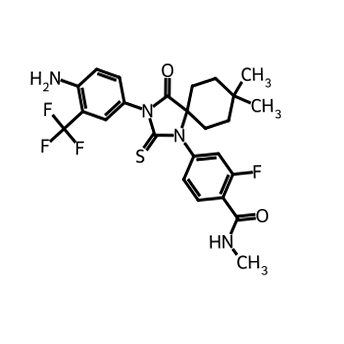 CNC(=O)c1ccc(N2C(=S)N(c3ccc(N)c(C(F)(F)F)c3)C(=O)C23CCC(C)(C)CC3)cc1F